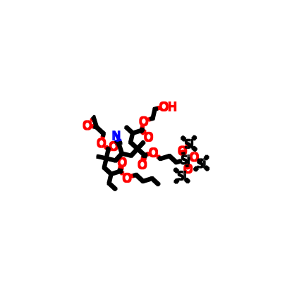 CCCCOC(=O)C(CC)CC(C)(CC(C#N)CC(C)(CC(C)C(=O)OCCO)C(=O)OCCC[Si](O[Si](C)(C)C)(O[Si](C)(C)C)O[Si](C)(C)C)C(=O)OCC1CO1